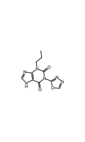 CCCn1c(=O)n(-c2nnco2)c(=O)c2[nH]cnc21